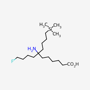 C[Si](C)(C)CCCCC(N)(CCCCF)CCCCCC(=O)O